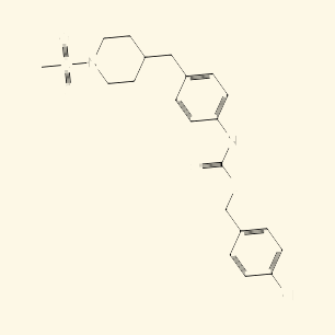 CS(=O)(=O)N1CCC(Cc2ccc(NC(=O)OCc3ccc(Cl)cc3)cc2)CC1